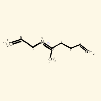 C=CCC/C(C)=N/CC=C